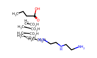 CC(=O)O.CC(=O)O.CC(=O)O.CC(=O)O.CC(=O)O.CCCC(=O)O.NCCNCCN